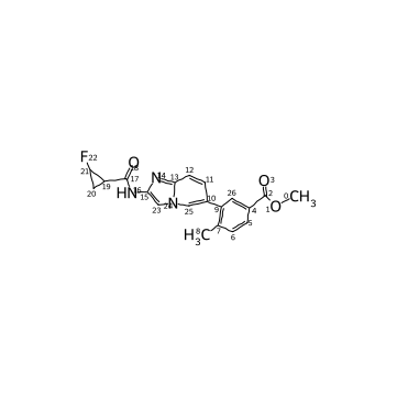 COC(=O)c1ccc(C)c(-c2ccc3nc(NC(=O)C4CC4F)cn3c2)c1